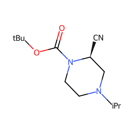 CC(C)N1CCN(C(=O)OC(C)(C)C)[C@@H](C#N)C1